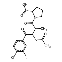 CC(=O)SC(C(=O)c1ccc(Cl)c(Cl)c1)C(C)C(=O)N1CCC[C@H]1C(=O)O